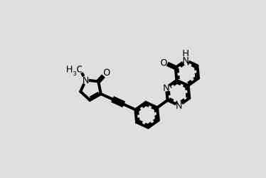 CN1CC=C(C#Cc2cccc(-c3ncc4cc[nH]c(=O)c4n3)c2)C1=O